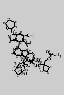 CC(=O)OCC1(COc2nc(N3C[C@H]4CC[C@@H](C3)N4C(=O)OC(C)(C)C)c3c(n2)sc2c(-c4c(C(F)F)c(C)cc5c4cnn5C4CCCCO4)nccc23)CCC1